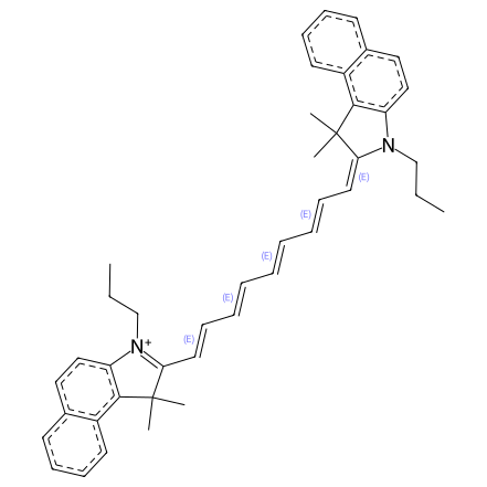 CCCN1/C(=C/C=C/C=C/C=C/C=C/C2=[N+](CCC)c3ccc4ccccc4c3C2(C)C)C(C)(C)c2c1ccc1ccccc21